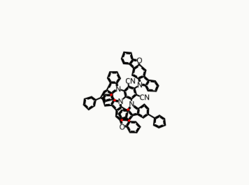 N#Cc1c(-n2c3ccccc3c3cc4oc5ccccc5c4cc32)c(C#N)c(-n2c3ccccc3c3cc(-c4ccccc4)ccc32)c(-n2c3ccccc3c3cc4oc5ccccc5c4cc32)c1-n1c2ccccc2c2cc(-c3ccccc3)ccc21